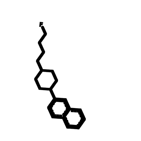 FCCCCC1CCC(c2ccc3ccccc3c2)CC1